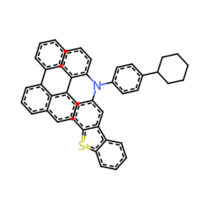 c1ccc(-c2cccc3cccc(-c4ccccc4N(c4ccc(C5CCCCC5)cc4)c4ccc5sc6ccccc6c5c4)c23)cc1